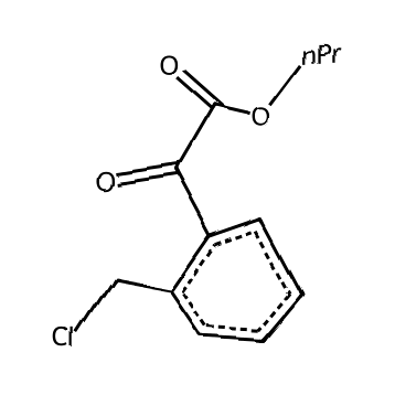 CCCOC(=O)C(=O)c1ccccc1CCl